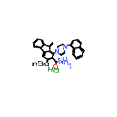 C=C1c2ccccc2-c2cc(CCCC)c(C(N)=O)c(N3CCN(c4cccc5ccccc45)CC3)c21.Cl